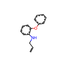 C=CCNc1ccccc1Oc1ccccc1